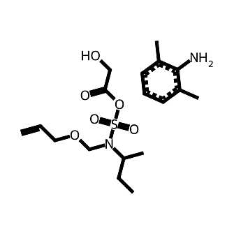 C=CCOCN(C(C)CC)S(=O)(=O)OC(=O)CO.Cc1cccc(C)c1N